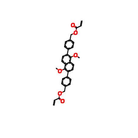 C=CC(=O)OCc1ccc(-c2ccc3c(OC)c(-c4ccc(COC(=O)C=C)cc4)ccc3c2OC)cc1